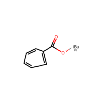 CC[C@@H](C)OC(=O)c1ccccc1